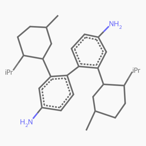 CC1CCC(C(C)C)C(c2cc(N)ccc2-c2ccc(N)cc2C2CC(C)CCC2C(C)C)C1